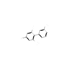 N#Cc1cccc(-c2c(N)cc(Br)cc2C#N)c1